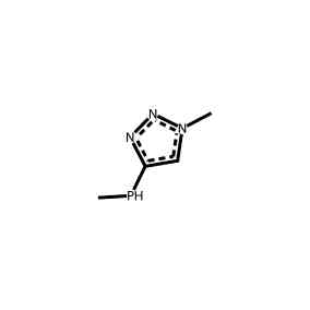 CPc1cn(C)nn1